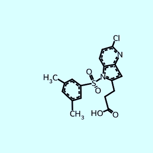 Cc1cc(C)cc(S(=O)(=O)n2c(CCC(=O)O)cc3nc(Cl)ccc32)c1